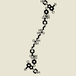 N#Cc1cc(Cl)cc2c1C[C@H](N1CCNCC1)[C@H]2Oc1ccc(S(=O)(=O)NC(=O)C2CCN(CCCNC(=O)NCCCCNC(=O)NCCCN3CCC(C(=O)NS(=O)(=O)c4ccc(O[C@H]5c6cc(Cl)cc(C#N)c6C[C@@H]5N5CCNCC5)cc4)CC3)CC2)cc1